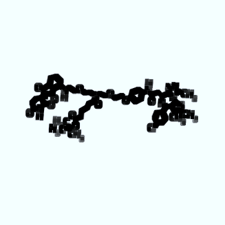 CC1=C(C)C2C(c3ccc(Cl)cc3)=N[C@@H](CC(=O)Nc3ccc(OCCOCCN(CCOCCNc4cccc5c4C(=O)N(C4CCC(=O)NC4=O)C5=O)C(=O)CCCCC(=O)OC(C)(C)C)cc3)c3nnc(C)n3C2S1